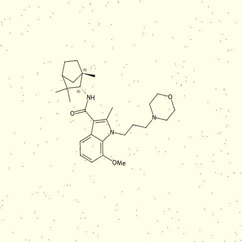 COc1cccc2c(C(=O)N[C@@H]3C(C)(C)C4CC[C@@]3(C)C4)c(C)n(CCCN3CCOCC3)c12